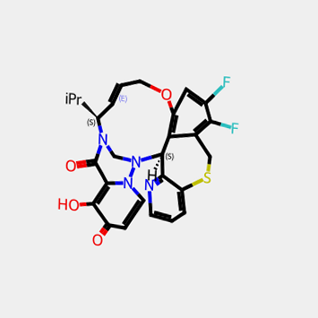 CC(C)[C@H]1/C=C/COc2cc(F)c(F)c3c2[C@@H](c2ncccc2SC3)N2CN1C(=O)c1c(O)c(=O)ccn12